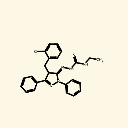 CCNC(=S)NN=C1C(Cc2ccccc2Cl)C(c2ccccc2)=NN1c1ccccc1